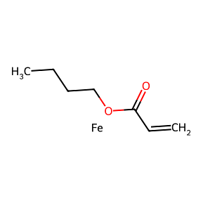 C=CC(=O)OCCCC.[Fe]